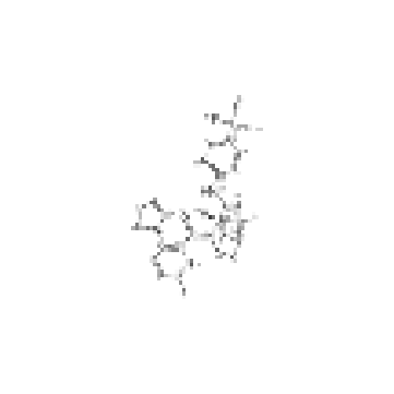 Cc1ccc(-n2nccn2)c(C(=O)N2C3CC(C3)[C@@H](C)[C@H]2CNc2ccc(C(F)(F)F)cn2)n1